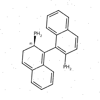 Pc1ccc2ccccc2c1C1=c2ccccc2=CC[C@H]1P